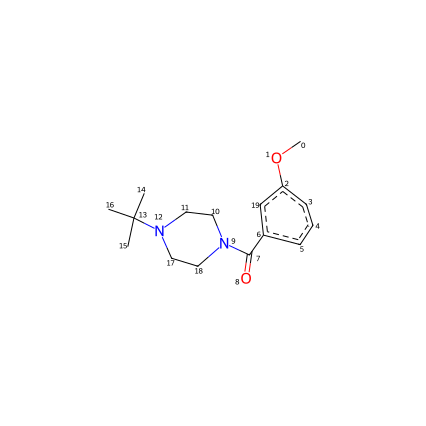 COc1cccc(C(=O)N2CCN(C(C)(C)C)CC2)c1